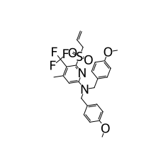 C=CCS(=O)(=O)c1nc(N(Cc2ccc(OC)cc2)Cc2ccc(OC)cc2)cc(C)c1C(F)(F)F